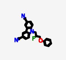 N#Cc1ccc2c(c1)c1cc(C#N)ccc1n2CC(F)COc1ccccc1